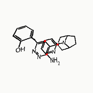 Nc1nnc(-c2ccccc2O)cc1N1CC2CCC(C1)N2c1ccccn1